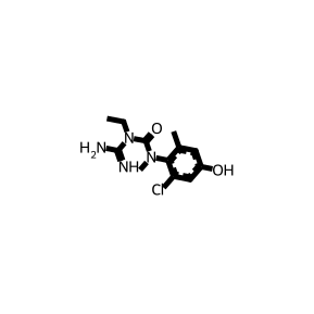 CCN(C(=N)N)C(=O)N(C)c1c(C)cc(O)cc1Cl